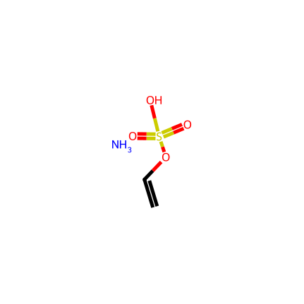 C=COS(=O)(=O)O.N